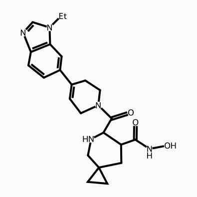 CCn1cnc2ccc(C3=CCN(C(=O)C4NCC5(CC5)CC4C(=O)NO)CC3)cc21